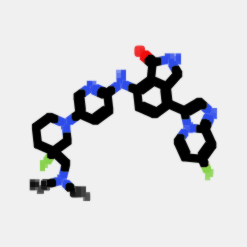 CN(C)CC1(F)CCCN(c2ccc(Nc3ccc(-c4cnc5cc(F)ccn45)c4c3C(=O)NC4)nc2)C1